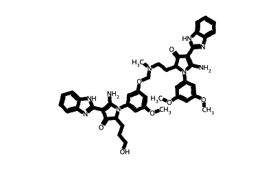 COc1cc(OCN(C)CCC2C(=O)C(c3nc4ccccc4[nH]3)=C(N)N2c2cc(OC)cc(OC)c2)cc(N2C(N)=C(c3nc4ccccc4[nH]3)C(=O)C2CCCO)c1